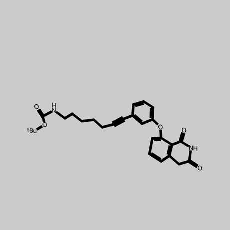 CC(C)(C)OC(=O)NCCCCCC#Cc1cccc(Oc2cccc3c2C(=O)NC(=O)C3)c1